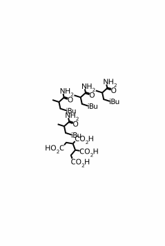 CCC(C)CC(C)C(N)=O.CCC(C)CC(C)C(N)=O.CCC(C)CC(C)C(N)=O.CCC(C)CC(C)C(N)=O.O=C(O)CC(C(=O)O)C(CC(=O)O)C(=O)O